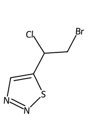 ClC(CBr)c1cnns1